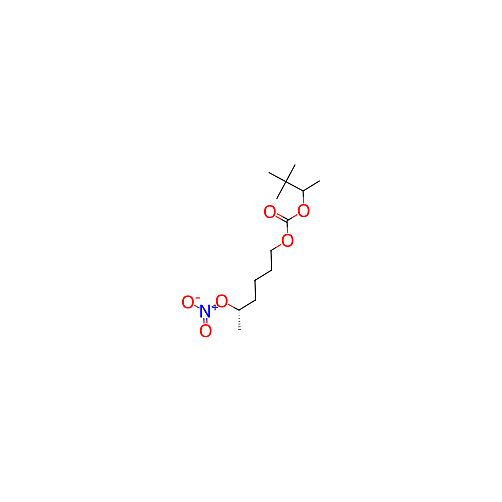 CC(OC(=O)OCCCC[C@H](C)O[N+](=O)[O-])C(C)(C)C